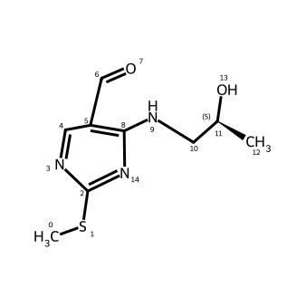 CSc1ncc(C=O)c(NC[C@H](C)O)n1